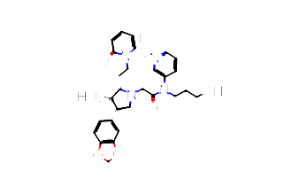 CCCCN(C(=O)CN1C[C@H](c2ccc3c(c2)OCO3)[C@@H](C)[C@@H]1CCn1ccccc1=O)c1ccc[n+](C)c1